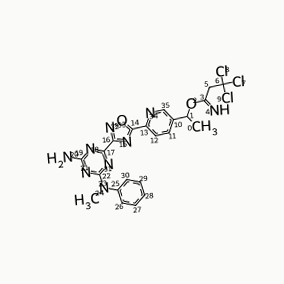 CC(OC(=N)CC(Cl)(Cl)Cl)c1ccc(-c2nc(-c3nc(N)nc(N(C)c4ccccc4)n3)no2)nc1